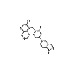 O=c1cnc2cnccc2n1Cc1ccc(-c2ccc3[nH]ncc3c2)cc1F